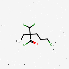 CCC(CCCCl)(C(=O)Cl)C(F)F